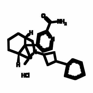 COC1(c2ccnc(C(N)=O)c2)[C@@H]2CCC[C@H]1CN(C1CC(c3ccccc3)C1)C2.Cl